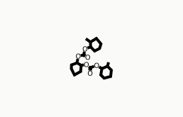 CC1CCCCC1OC(=O)OC1CCCCC1OC(=O)OC1CCCCC1C